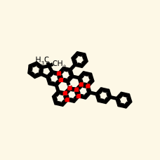 CC1(C)c2ccccc2-c2cc(-c3ccccc3N(c3ccc(-c4ccc(-c5ccccc5)cc4)cc3)c3cccc(-c4ccccc4)c3-c3ccccc3-c3ccccc3)ccc21